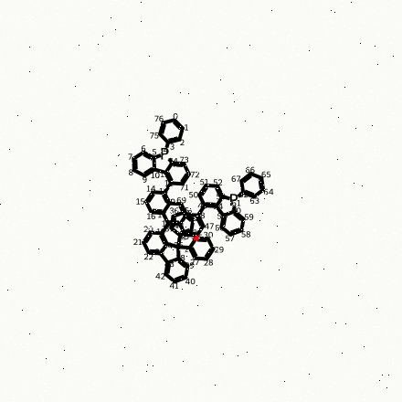 c1ccc(-p2c3ccccc3c3c(-c4cccc5c(-c6cccc7c6C(c6ccccc6)(c6ccccc6)c6ccccc6-7)c6cccc(-c7cccc8c7c7ccccc7p8-c7ccccc7)c6cc45)cccc32)cc1